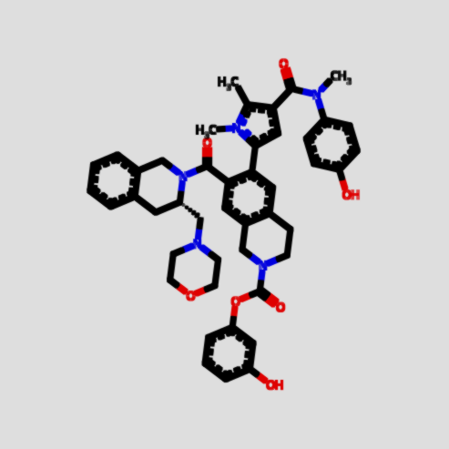 Cc1c(C(=O)N(C)c2ccc(O)cc2)cc(-c2cc3c(cc2C(=O)N2Cc4ccccc4C[C@H]2CN2CCOCC2)CN(C(=O)Oc2cccc(O)c2)CC3)n1C